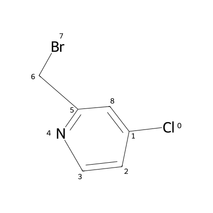 Clc1ccnc(CBr)c1